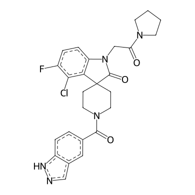 O=C(CN1C(=O)C2(CCN(C(=O)c3ccc4[nH]ncc4c3)CC2)c2c1ccc(F)c2Cl)N1CCCC1